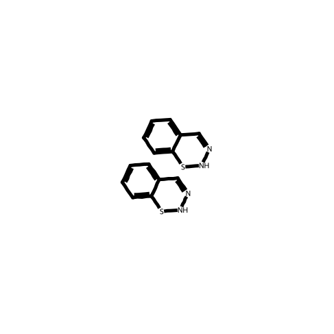 C1=NNSc2ccccc21.C1=NNSc2ccccc21